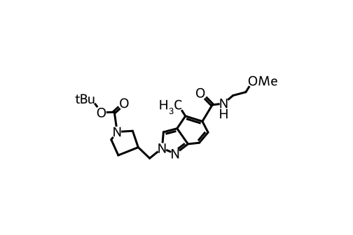 COCCNC(=O)c1ccc2nn(CC3CCN(C(=O)OC(C)(C)C)C3)cc2c1C